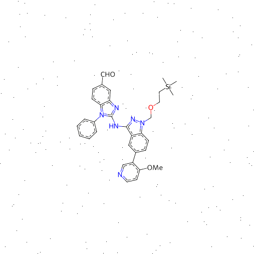 COc1ccncc1-c1ccc2c(c1)c(Nc1nc3cc(C=O)ccc3n1-c1ccccc1)nn2COCC[Si](C)(C)C